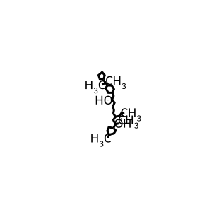 CC[C@H](C)C(CCCC[C@H](O)CC1CCC(C(C)(C)C2CCCC2)CC1)CC(O)C1CCC(C)CC1